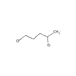 [CH2]C(Cl)CCCCl